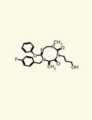 C=C1C(=O)N(CCCO)C(=O)N(C)C/N=C(/Oc2ccccc2)N1Cc1ccc(F)cc1